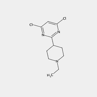 CCN1CCC(c2nc(Cl)cc(Cl)n2)CC1